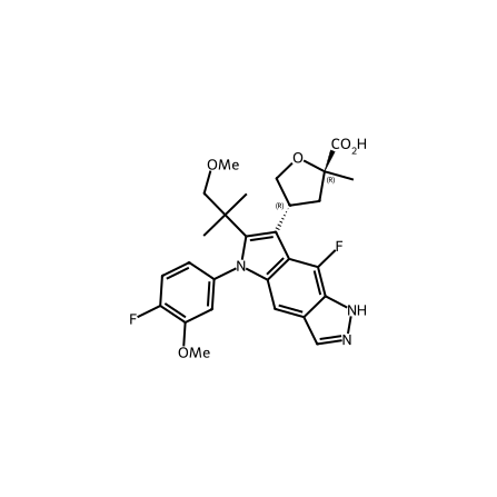 COCC(C)(C)c1c([C@@H]2CO[C@@](C)(C(=O)O)C2)c2c(F)c3[nH]ncc3cc2n1-c1ccc(F)c(OC)c1